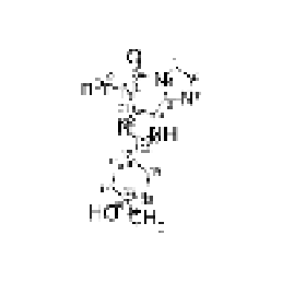 CCCN1C(=O)N2CCN=C2c2[nH]c(C3=CCC(C)(O)CC3)nc21